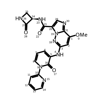 COc1cc(Nc2cccn(-c3ccccn3)c2=O)nn2c(C(=O)N[C@@H]3CNC3=O)cnc12